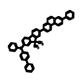 CC1(C)c2cc(-c3ccc4c(ccc5cc(-c6ccccc6)ccc54)c3)ccc2-c2ccc(N(c3ccccc3)c3ccc(-c4ccccc4)cc3)cc21